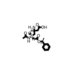 CC(=O)NS(=O)(C[C@](C)(N)CC(=O)O)=NC(=O)O[C@@H](C)c1ccccc1